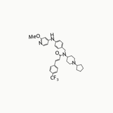 COc1cc(Nc2ccc(CN(C(=O)/C=C/c3ccc(C(F)(F)F)cc3)C3CCN(C4CCCC4)CC3)cc2)ccn1